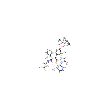 CC1(C)OB(c2ccc(C(C(=O)[C@@H]3CCC(=O)N3c3cc(C#N)ccn3)[C@H](C(=O)NC3CC(F)(F)C3)c3ccccc3Cl)cc2F)OC1(C)C